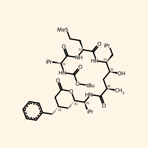 CSCC[C@H](NC(=O)[C@@H](NC(=O)OC(C)(C)C)C(C)C)C(=O)N[C@@H](CC(C)C)[C@@H](O)C[C@@H](C)C(=O)N[C@@H](C(C)C)[C@@H]1C[C@H](Cc2ccccc2)CC(=O)O1